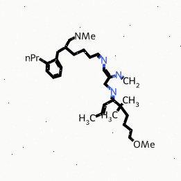 C=N/C(=C\N=C/CCCC(CNC)Cc1ccccc1CCC)C/N=C(\C=C\C)C(C)(C)CCCCOC